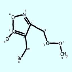 COOCc1no[n+]([O-])c1CBr